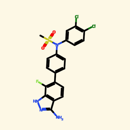 CS(=O)(=O)N(c1ccc(-c2ccc3c(N)n[nH]c3c2F)cc1)c1ccc(Cl)c(Cl)c1